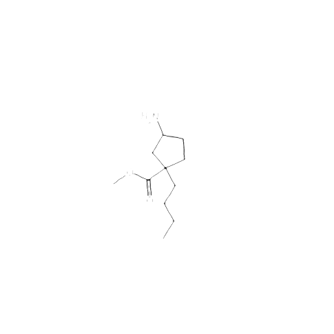 CCCCC1(C(=O)OC)CCC(N)C1